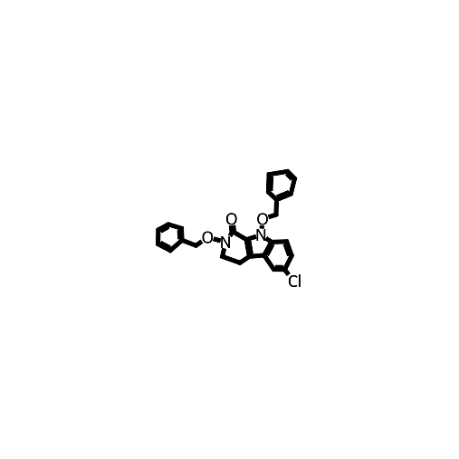 O=C1c2c(c3cc(Cl)ccc3n2OCc2ccccc2)CCN1OCc1ccccc1